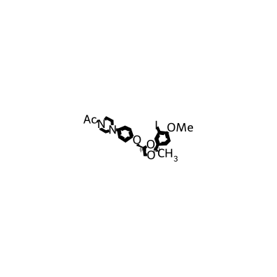 COc1ccc([C@@]2(C)OC[C@@H](COc3ccc(N4CCN(C(C)=O)CC4)cc3)O2)cc1I